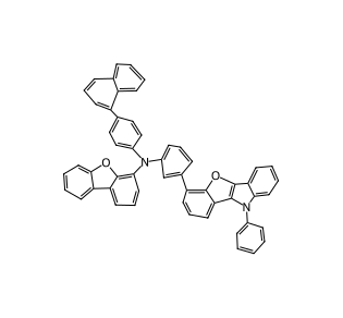 c1ccc(-n2c3ccccc3c3oc4c(-c5cccc(N(c6ccc(-c7cccc8ccccc78)cc6)c6cccc7c6oc6ccccc67)c5)cccc4c32)cc1